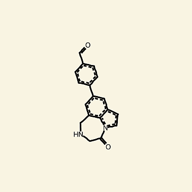 O=Cc1ccc(-c2cc3c4c(ccn4C(=O)CNC3)c2)cc1